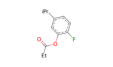 CCC(=O)Oc1cc(C(C)C)ccc1F